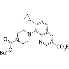 CCOC(=O)c1cnc2c(N3CCN(C(=O)OC(C)(C)C)CC3)c(C3CC3)ccc2c1